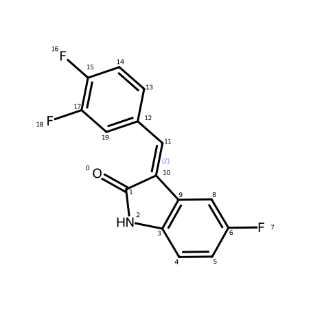 O=C1Nc2ccc(F)cc2/C1=C/c1ccc(F)c(F)c1